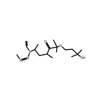 C=CN(/N=N\C)C(C)CC(C)C(=O)C(C)(C)OCCC(C)(C)O